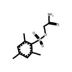 Cc1cc(C)c(S(=O)(=O)OCC(N)=O)c(C)c1